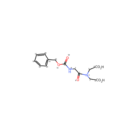 O=C(O)CN(CC(=O)O)C(=O)CNC(=O)OCc1ccccc1